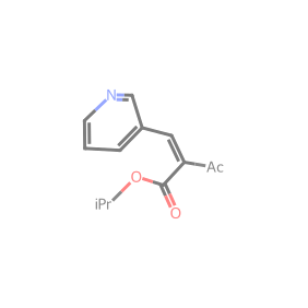 CC(=O)C(=Cc1cccnc1)C(=O)OC(C)C